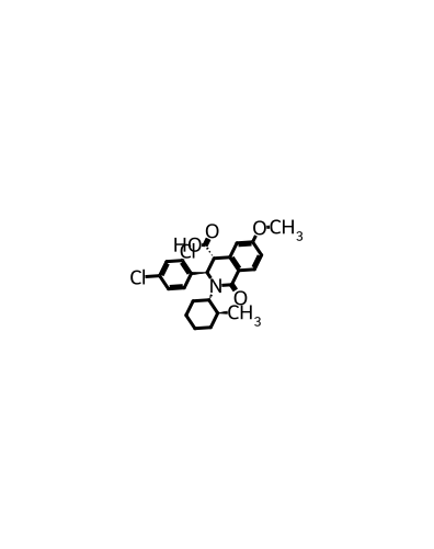 COc1ccc2c(c1)[C@@H](C(=O)O)[C@H](c1ccc(Cl)cc1Cl)N([C@H]1CCCC[C@@H]1C)C2=O